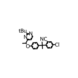 CC(Oc1ccc(C(C)(C)c2ccc(Cl)cc2C#N)cc1)c1ccnc(C(C)(C)C)n1